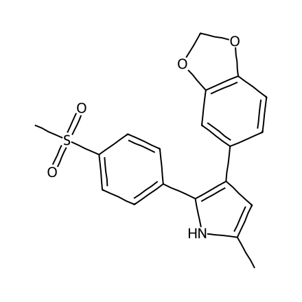 Cc1cc(-c2ccc3c(c2)OCO3)c(-c2ccc(S(C)(=O)=O)cc2)[nH]1